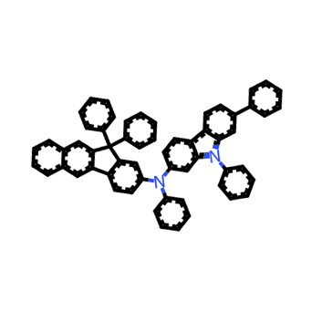 c1ccc(-c2ccc3c4ccc(N(c5ccccc5)c5ccc6c(c5)C(c5ccccc5)(c5ccccc5)c5cc7ccccc7cc5-6)cc4n(-c4ccccc4)c3c2)cc1